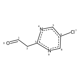 O=CCc1ncc(Cl)cn1